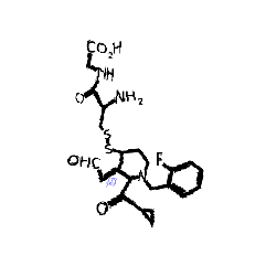 NC(CSSC1CCN(Cc2ccccc2F)C(C(=O)C2CC2)/C1=C/C=O)C(=O)NCC(=O)O